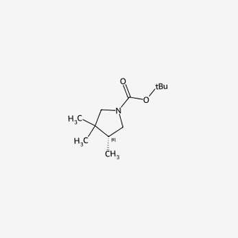 C[C@H]1CN(C(=O)OC(C)(C)C)CC1(C)C